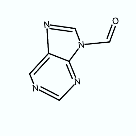 O=Cn1cnc2cncnc21